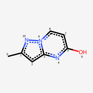 Cc1cc2nc(O)[c]cn2n1